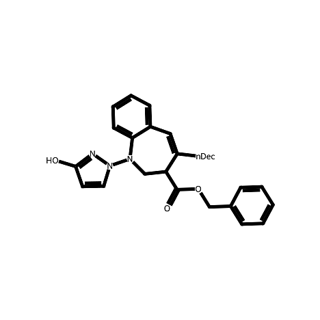 CCCCCCCCCCC1=Cc2ccccc2N(n2ccc(O)n2)CC1C(=O)OCc1ccccc1